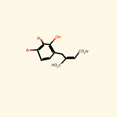 O=C(O)/C=C(\Cc1ccc(Br)c(Br)c1O)C(=O)O